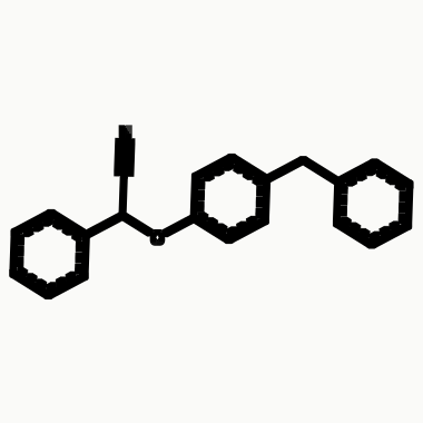 N#CC(Oc1ccc(Cc2ccccc2)cc1)c1ccccc1